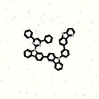 c1ccc(-c2cc(-c3ccccc3)nc(-n3c4ccccc4c4ccc(-c5ccc6c(c5)c5ccccc5n6-c5cccc(-c6ccc7sc8cccnc8c7c6)c5)cc43)n2)cc1